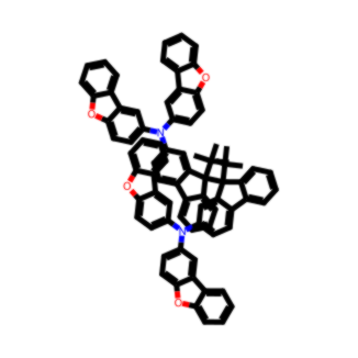 CC(C)(C)C1(C2(C(C)(C)C)c3ccccc3-c3ccc(N(c4ccc5oc6ccccc6c5c4)c4ccc5oc6ccccc6c5c4)cc32)c2ccccc2-c2ccc(N(c3ccc4oc5ccccc5c4c3)c3ccc4oc5ccccc5c4c3)cc21